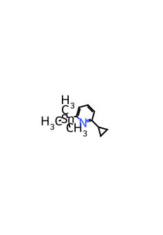 [CH3][Sn]([CH3])([CH3])[c]1cccc(C2CC2)n1